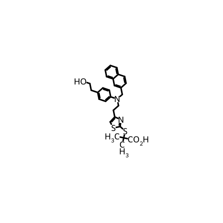 CC(C)(Sc1nc(CCN(Cc2ccc3ccccc3c2)c2ccc(CCO)cc2)cs1)C(=O)O